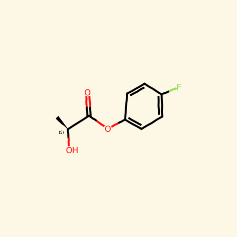 C[C@H](O)C(=O)Oc1ccc(F)cc1